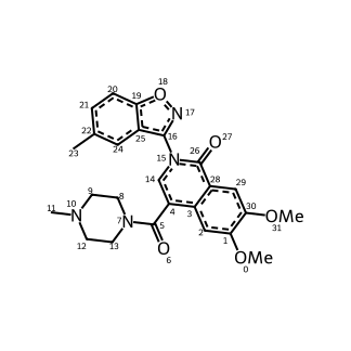 COc1cc2c(C(=O)N3CCN(C)CC3)cn(-c3noc4ccc(C)cc34)c(=O)c2cc1OC